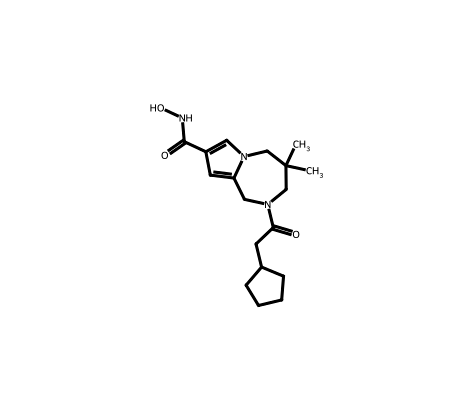 CC1(C)CN(C(=O)CC2CCCC2)Cc2cc(C(=O)NO)cn2C1